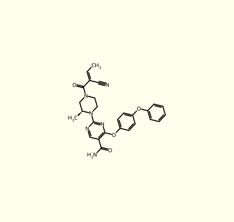 C/C=C(\C#N)C(=O)N1CCN(c2ncc(C(N)=O)c(Oc3ccc(Oc4ccccc4)cc3)n2)[C@@H](C)C1